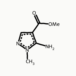 COC(=O)c1cnn(C)c1N